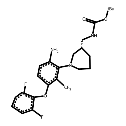 CC(C)(C)OC(=O)NC[C@@H]1CCCN(c2c(N)ccc(Oc3c(F)cccc3F)c2C(F)(F)F)C1